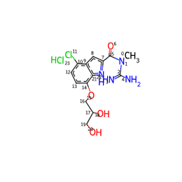 CN(C(=N)N)C(=O)c1cc2c(Cl)ccc(OCC(O)CO)c2[nH]1.Cl